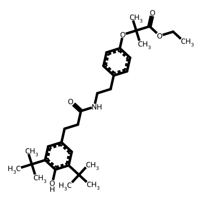 CCOC(=O)C(C)(C)Oc1ccc(CCNC(=O)CCc2cc(C(C)(C)C)c(O)c(C(C)(C)C)c2)cc1